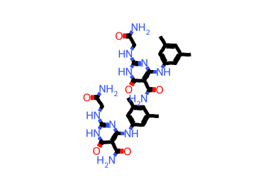 Cc1cc(C)cc(Nc2nc(NCC(N)=O)[nH]c(=O)c2C(N)=O)c1.Cc1cc(C)cc(Nc2nc(NCC(N)=O)[nH]c(=O)c2C(N)=O)c1